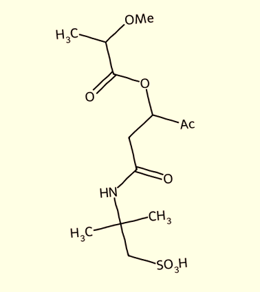 COC(C)C(=O)OC(CC(=O)NC(C)(C)CS(=O)(=O)O)C(C)=O